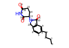 CCCCc1ccc2c(c1)C(=O)N(C1CCC(=O)NC1=O)C2